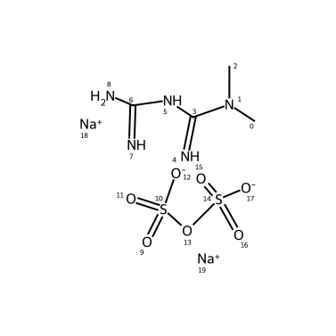 CN(C)C(=N)NC(=N)N.O=S(=O)([O-])OS(=O)(=O)[O-].[Na+].[Na+]